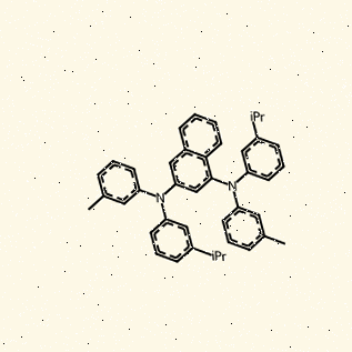 Cc1cccc(N(c2cccc(C(C)C)c2)c2cc(N(c3cccc(C)c3)c3cccc(C(C)C)c3)c3ccccc3c2)c1